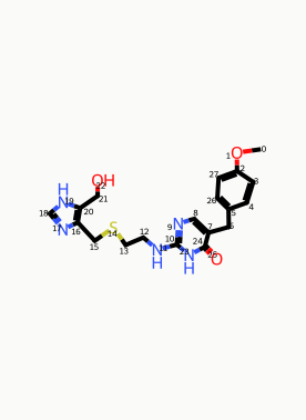 COc1ccc(Cc2cnc(NCCSCc3nc[nH]c3CO)[nH]c2=O)cc1